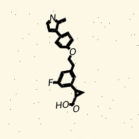 C=C1N=CC=C1c1ccc(OCCc2cc(F)cc(C3CC3C(=O)O)c2)cc1